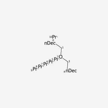 CCCCCCCCCCCOCCCCCCCCCCC.[Pr].[Pr].[Pr].[Pr].[Pr].[Pr]